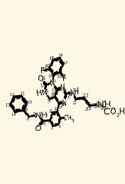 Cc1ccc(C(=O)NCc2ccccc2)cc1-c1nc(NCCCNC(=O)O)nc2c1CNC(=O)N2c1c(F)cccc1F